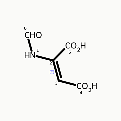 O=CN/C(=C/C(=O)O)C(=O)O